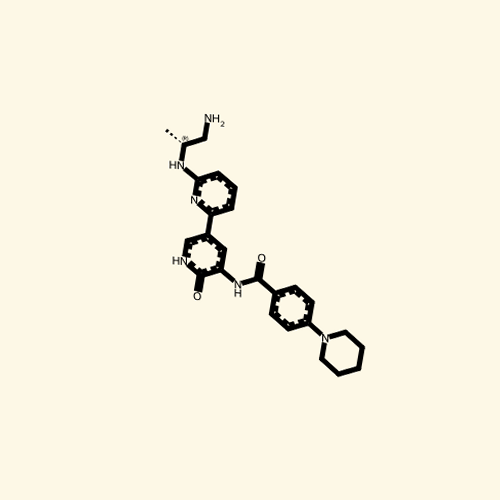 C[C@H](CN)Nc1cccc(-c2c[nH]c(=O)c(NC(=O)c3ccc(N4CCCCC4)cc3)c2)n1